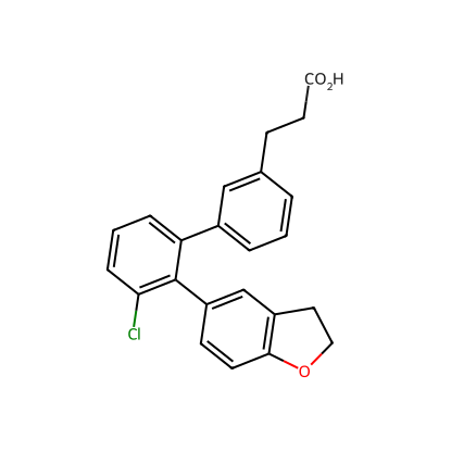 O=C(O)CCc1cccc(-c2cccc(Cl)c2-c2ccc3c(c2)CCO3)c1